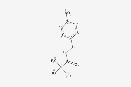 O=C(OCc1ccc([N+](=O)[O-])cc1)C(O)(C(F)(F)F)C(F)(F)F